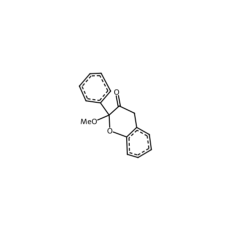 COC1(c2ccccc2)Oc2ccccc2CC1=O